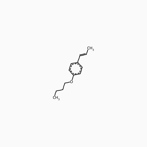 CC=Cc1ccc(OCCCC)cc1